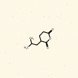 CC(C)CC1CCC(=O)OC1=O